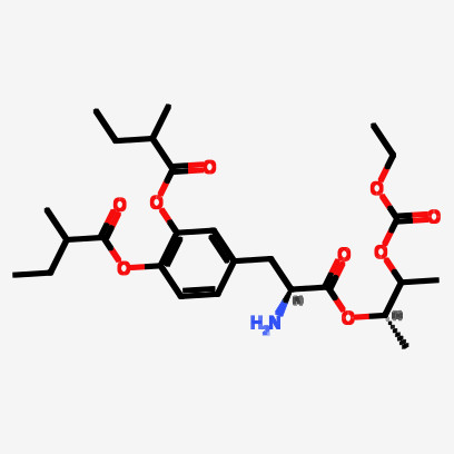 CCOC(=O)OC(C)[C@H](C)OC(=O)[C@@H](N)Cc1ccc(OC(=O)C(C)CC)c(OC(=O)C(C)CC)c1